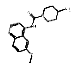 COc1ccc2nccc(NC(=O)N3CCC(N)CC3)c2c1